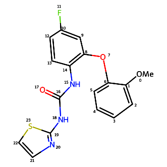 COc1ccccc1Oc1cc(F)ccc1NC(=O)Nc1nccs1